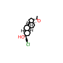 CC(=O)[C@H]1CC[C@H]2[C@@H]3CC[C@@H]4C[C@](O)(C#CCl)CC[C@@H]4[C@H]3CC[C@]12C